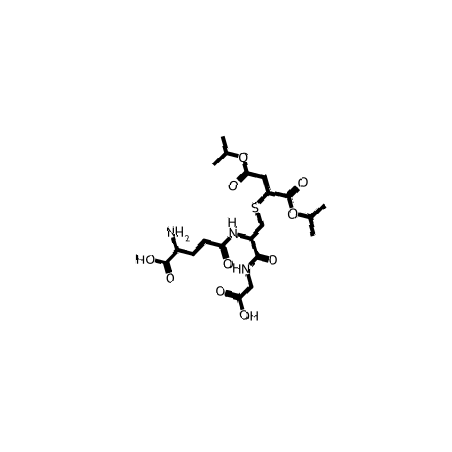 CC(C)OC(=O)CC(SCC(NC(=O)CCC(N)C(=O)O)C(=O)NCC(=O)O)C(=O)OC(C)C